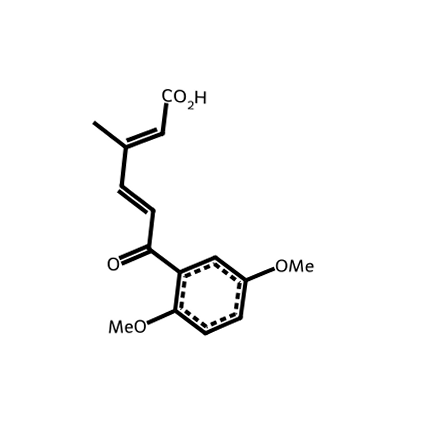 COc1ccc(OC)c(C(=O)C=CC(C)=CC(=O)O)c1